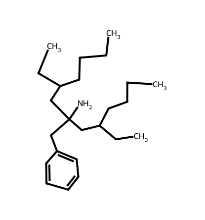 CCCCC(CC)CC(N)(Cc1ccccc1)CC(CC)CCCC